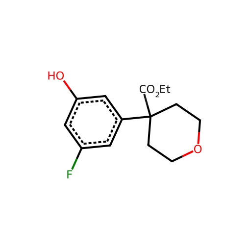 CCOC(=O)C1(c2cc(O)cc(F)c2)CCOCC1